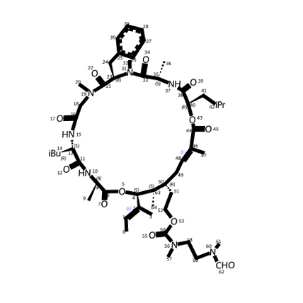 C/C=C(\C)[C@H]1OC(=O)[C@@H](C)NC(=O)[C@H]([C@H](C)CC)NC(=O)CN(C)C(=O)[C@@H](Cc2ccccc2)N(C)C(=O)[C@H](C)NC(=O)[C@@H](CC(C)C)OC(=O)/C(C)=C/C[C@H](CCOC(=O)N(C)CCN(C)C=O)[C@@H]1C